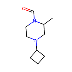 CC1CN(C2CCC2)CCN1C=O